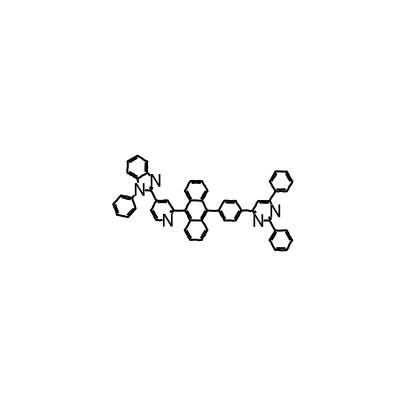 c1ccc(-c2cc(-c3ccc(-c4c5ccccc5c(-c5cc(-c6nc7ccccc7n6-c6ccccc6)ccn5)c5ccccc45)cc3)nc(-c3ccccc3)n2)cc1